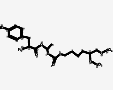 CC(OC(=O)OCCCCC(CO[N+](=O)[O-])O[N+](=O)[O-])OC(=O)C(N)Cc1ccc(O)cc1